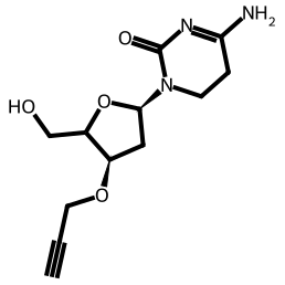 C#CCO[C@@H]1C[C@H](N2CCC(N)=NC2=O)OC1CO